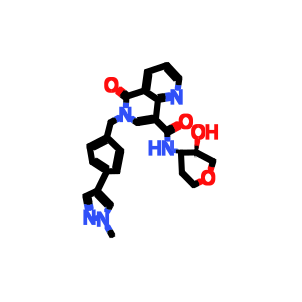 Cn1cc(-c2ccc(Cn3cc(C(=O)N[C@H]4CCOC[C@@H]4O)c4ncccc4c3=O)cc2)cn1